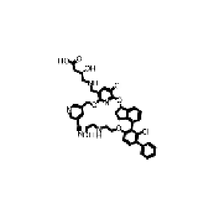 N#Cc1cncc(COc2nc(O[C@H]3CCc4c(-c5c(OCCNCCO)ccc(-c6ccccc6)c5Cl)cccc43)c(Cl)cc2CNC[C@@H](O)CC(=O)O)c1